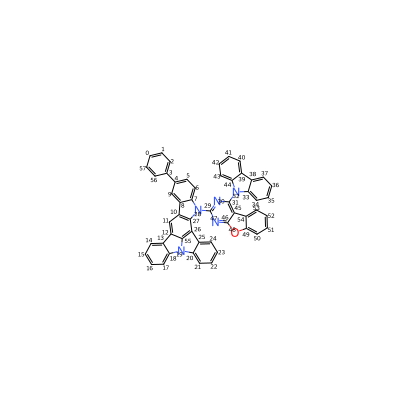 c1ccc(-c2ccc3c(c2)c2cc4c5ccccc5n5c6ccccc6c(c2n3-c2nc(-n3c6ccccc6c6ccccc63)c3c(n2)oc2ccccc23)c45)cc1